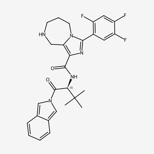 CC(C)(C)[C@H](NC(=O)c1nc(-c2cc(F)c(F)cc2F)n2c1CNCCC2)C(=O)n1cc2ccccc2c1